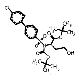 CC(C)(C)OC(=O)[C@@H](CCO)N(C(=O)OC(C)(C)C)S(=O)(=O)c1ccc(-c2ccc(Cl)cc2)cc1